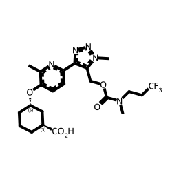 Cc1nc(-c2nnn(C)c2COC(=O)N(C)CCC(F)(F)F)ccc1O[C@H]1CCC[C@H](C(=O)O)C1